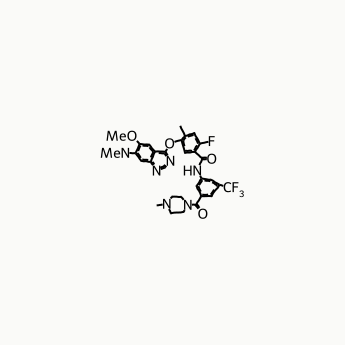 CNc1cc2ncnc(Oc3cc(C(=O)Nc4cc(C(=O)N5CCN(C)CC5)cc(C(F)(F)F)c4)c(F)cc3C)c2cc1OC